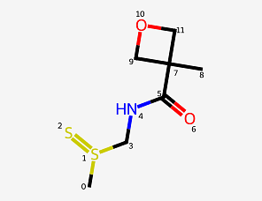 CS(=S)CNC(=O)C1(C)COC1